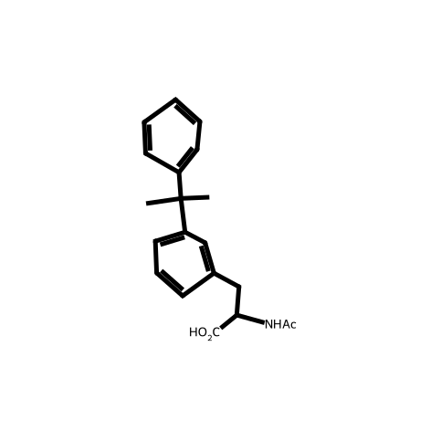 CC(=O)NC(Cc1cccc(C(C)(C)c2ccccc2)c1)C(=O)O